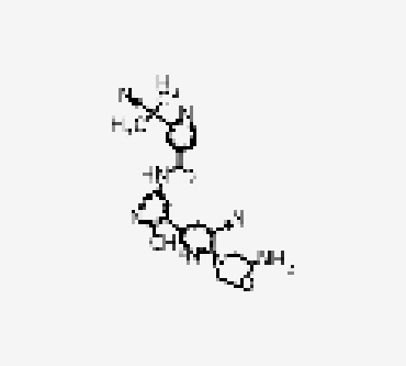 Cc1ncc(NC(=O)c2ccnc(C(C)(C)C#N)c2)cc1-c1cnc(N2CCOC(N)C2)c(C#N)c1